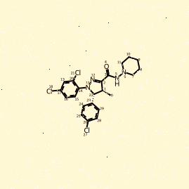 C[C@@H]1C(C(=O)NN2CCCCC2)=NN(c2ccc(Cl)cc2Cl)[C@H]1c1ccc(Cl)cc1